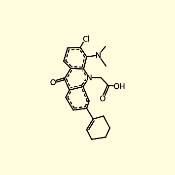 CN(C)c1c(Cl)ccc2c(=O)c3ccc(C4=CCCCC4)cc3n(CC(=O)O)c12